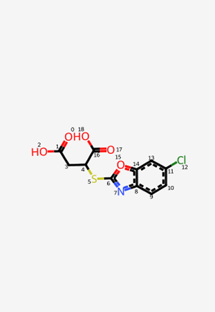 O=C(O)CC(Sc1nc2ccc(Cl)cc2o1)C(=O)O